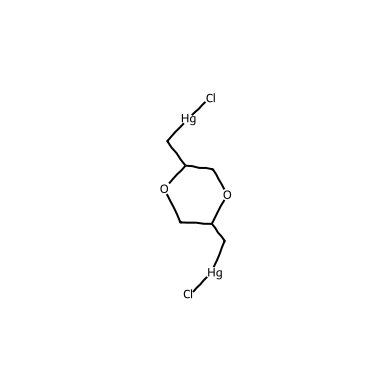 [Cl][Hg][CH2]C1COC([CH2][Hg][Cl])CO1